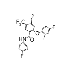 Cc1cc(F)ccc1Oc1cc(C2CC2)c(C(F)(F)F)cc1C(=O)Nc1ccc(F)cc1